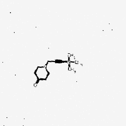 C[Si](C)(C)C#CCN1CCC(=O)CC1